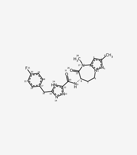 Cc1cc2n(n1)CC[C@H](NC(=O)c1nnc(Cc3ccc(F)cc3)[nH]1)C(=O)N2C